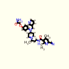 Cc1cc(C#N)nc(C)c1C(=O)NCC[C@@H](C)N1CCC(N(Cc2cccnc2)c2ccc(OCC(N)=O)cc2)CC1